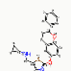 c1ccc(C2CCc3cc(Oc4ncc(CNC5CC5)s4)ccc3O2)cc1